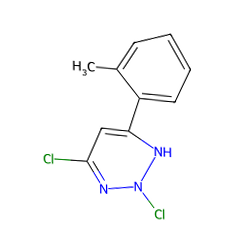 Cc1ccccc1C1=CC(Cl)=NN(Cl)N1